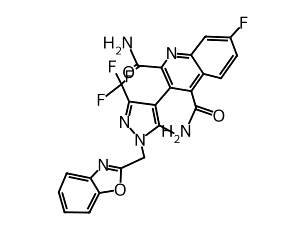 Cc1c(-c2c(C(N)=O)nc3cc(F)ccc3c2C(N)=O)c(C(F)(F)F)nn1Cc1nc2ccccc2o1